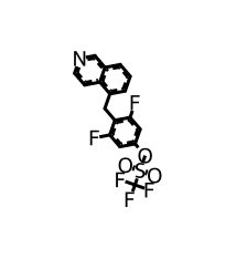 O=S(=O)(Oc1cc(F)c(Cc2cccc3cnccc23)c(F)c1)C(F)(F)F